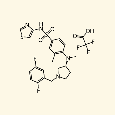 Cc1cc(S(=O)(=O)Nc2cscn2)ccc1N(C)[C@H]1CCN(Cc2cc(F)ccc2F)C1.O=C(O)C(F)(F)F